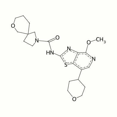 COc1ncc(C2CCOCC2)c2sc(NC(=O)N3CCC4(CCCOC4)C3)nc12